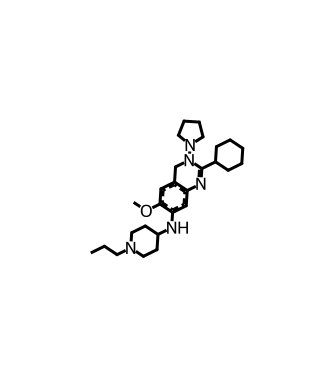 CCCN1CCC(Nc2cc3c(cc2OC)CN(N2CCCC2)C(C2CCCCC2)=N3)CC1